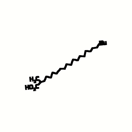 CCC(C)CCCCCCCCCCCCCCCCCC(C)C(=O)O